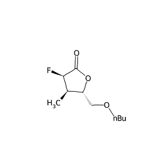 CCCCOC[C@H]1OC(=O)[C@H](F)[C@@H]1C